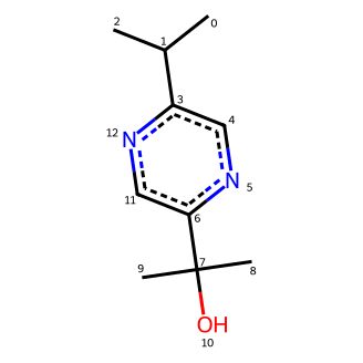 CC(C)c1cnc(C(C)(C)O)cn1